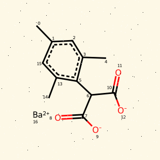 Cc1cc(C)c(C(C(=O)[O-])C(=O)[O-])c(C)c1.[Ba+2]